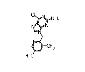 Cc1cnc(Cn2cnc3c(Cl)nc(N)nc32)c(C)c1